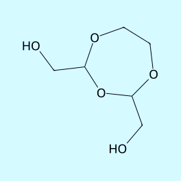 OCC1OCCOC(CO)O1